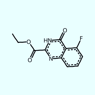 CCOC(=O)c1nc2cccc(F)c2c(=O)[nH]1